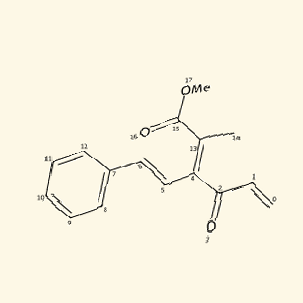 C=CC(=O)C(C=Cc1ccccc1)=C(C)C(=O)OC